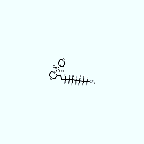 O=P(O)(N1CCOCC1)N1CCOCC1CCC(F)(F)C(F)(F)C(F)(F)C(F)(F)C(F)(F)C(F)(F)C(F)(F)C(F)(F)F